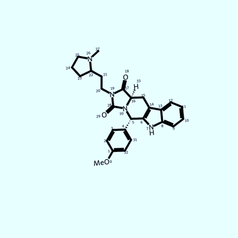 COc1ccc([C@H]2c3[nH]c4ccccc4c3C[C@@H]3C(=O)N(CCC4CCCN4C)C(=O)N23)cc1